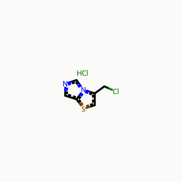 Cl.ClCc1csc2cncn12